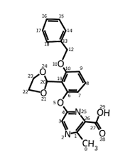 Cc1ncc(Oc2cccc(OCc3ccccc3)c2C2OCCO2)nc1C(=O)O